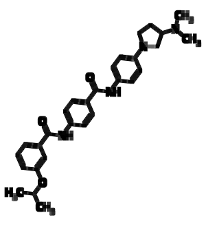 CC(C)Oc1cccc(C(=O)Nc2ccc(C(=O)Nc3ccc(N4CCC(N(C)C)C4)cc3)cc2)c1